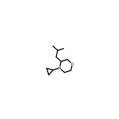 CC(C)CC1COCCN1C1CC1